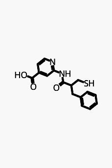 O=C(O)c1ccnc(NC(=O)C(CS)Cc2ccccc2)c1